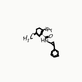 CC1CC[C@@H](C(C)C)[C@H](C(=O)NC2CC2c2ccccc2)C1